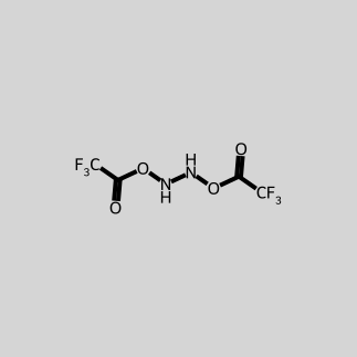 O=C(ONNOC(=O)C(F)(F)F)C(F)(F)F